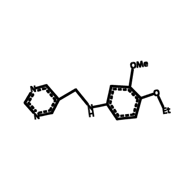 CCOc1ccc(NCc2cncnc2)cc1OC